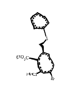 CCOC(=O)c1c(CSc2ccccc2)ccc(Br)c1O